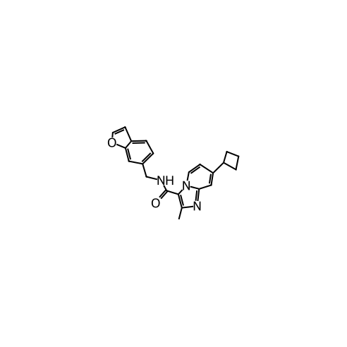 Cc1nc2cc(C3CCC3)ccn2c1C(=O)NCc1ccc2ccoc2c1